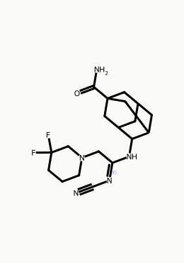 N#C/N=C(\CN1CCCC(F)(F)C1)NC1C2CC3CC1CC(C(N)=O)(C3)C2